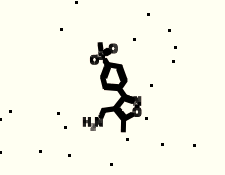 Cc1onc(-c2ccc(S(C)(=O)=O)cc2)c1CN